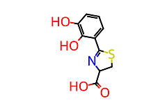 O=C(O)C1CSC(c2cccc(O)c2O)=N1